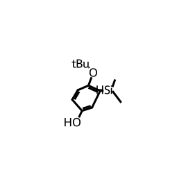 C[SiH](C)c1cc(O)ccc1OC(C)(C)C